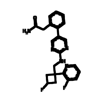 NC(=O)Cc1ccccc1-c1cnc(NCC2(c3ncccc3F)CC(F)C2)nc1